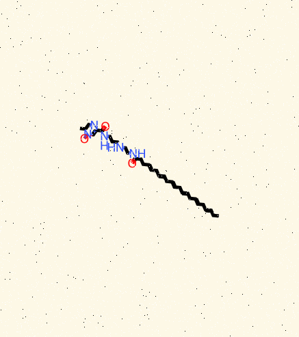 CCC=CCC=CCC=CCC=CCC=CCC=CCCC(=O)NCCNCCCNC(=O)c1c[n+]([O-])c(C)cn1